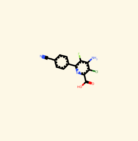 N#Cc1ccc(-c2nc(C(=O)O)c(Cl)c(N)c2F)cc1